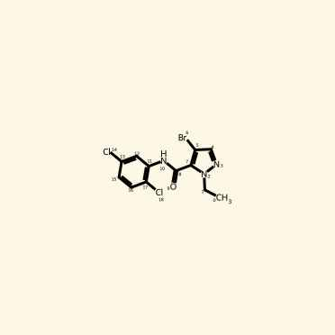 CCn1ncc(Br)c1C(=O)Nc1cc(Cl)ccc1Cl